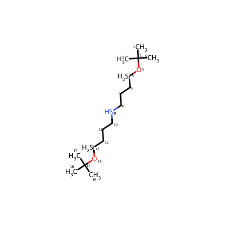 CC(C)(C)O[SiH2]CCCNCCC[SiH2]OC(C)(C)C